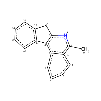 Cc1nc2c(c3ccccc13)-c1ccccc1C2